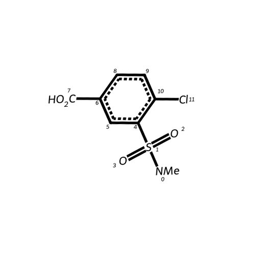 CNS(=O)(=O)c1cc(C(=O)O)ccc1Cl